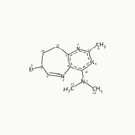 CCC1C=Nc2c(nc(C)nc2N(C)C)CC1